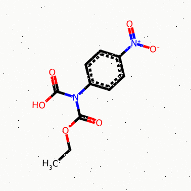 CCOC(=O)N(C(=O)O)c1ccc([N+](=O)[O-])cc1